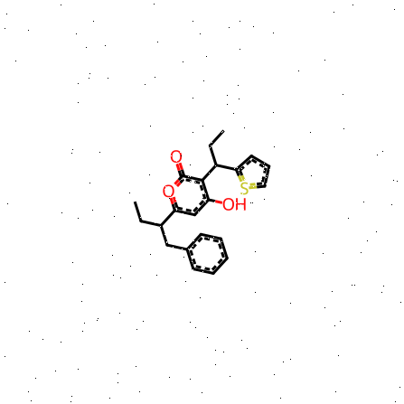 CCC(Cc1ccccc1)c1cc(O)c(C(CC)c2cccs2)c(=O)o1